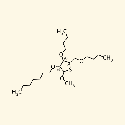 CCCCCCCO[C@H]1C(OC)S[C@@H](COCCCC)[C@@H]1OCCCC